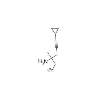 CC(C)CC(C)(N)CC#CC1CC1